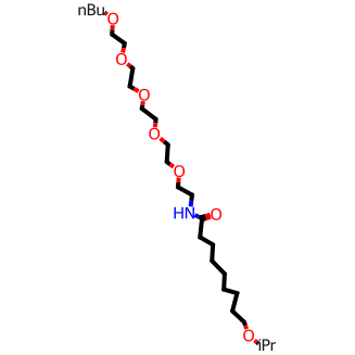 CCCCOCCOCCOCCOCCOCCNC(=O)CCCCCCCCOC(C)C